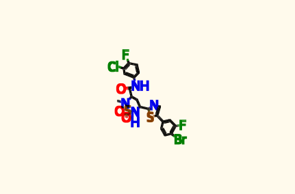 CN1C(C(=O)Nc2ccc(F)c(Cl)c2)CC(c2ncc(-c3ccc(Br)c(F)c3)s2)NS1(=O)=O